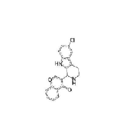 O=c1c(C2NCCc3c2[nH]c2ccc(Cl)cc32)coc2ccccc12